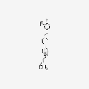 C=CCCC[Si@H]1CC[C@H]([C@H]2CC[C@H](CCc3ccc(F)c(F)c3)CC2)CC1